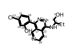 CCC(CO)Nc1nnc(-c2ccc(Cl)cc2O)c2cnccc12